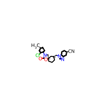 Cc1ccc(N2C[C@@]3(CCC[C@H](Cn4cnc5cc(C#N)ccc54)C3)OC2=O)c(Cl)c1